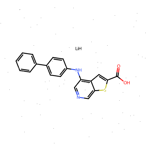 O=C(O)c1cc2c(Nc3ccc(-c4ccccc4)cc3)cncc2s1.[LiH]